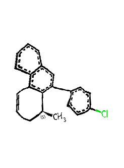 C[C@H]1CC=Cc2c1c(-c1ccc(Cl)cc1)cc1ccccc21